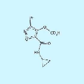 CC(C)c1noc(C(=O)NC2CC2)c1OC(=O)O